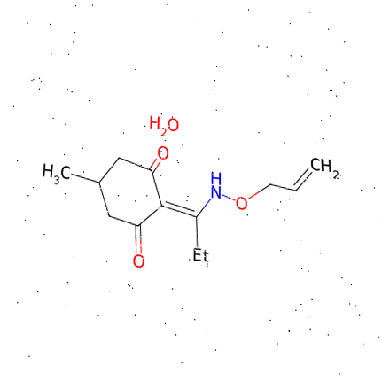 C=CCONC(CC)=C1C(=O)CC(C)CC1=O.O